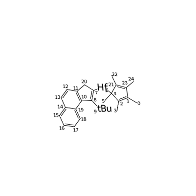 CC1=C(C)[C](C)([Hf][C]2=C(C(C)(C)C)c3c(ccc4ccccc34)C2)C(C)=C1C